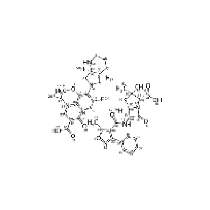 COc1c(N2C[C@@H]3CCCN[C@@H]3C2)c(F)cc2c(=O)c(C(=O)O)cn(C3CC3)c12.Cc1onc(-c2ccccc2)c1C(=O)N[C@@H]1C(=O)N2[C@@H]1SC(C)(C)[C@@H]2C(=O)O